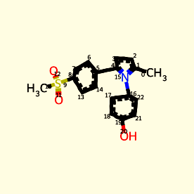 Cc1ccc(-c2ccc(S(C)(=O)=O)cc2)n1-c1ccc(O)cc1